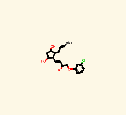 CCCC/C=C/CC1C(O)CC(O)C1/C=C/C(O)COc1cccc(Cl)c1